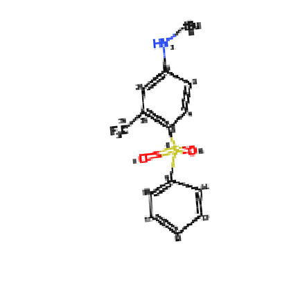 CC(C)(C)Nc1ccc(S(=O)(=O)c2ccccc2)c(C(F)(F)F)c1